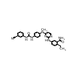 CCc1ccc(Nc2nccc(N(C)c3ccc(NC(=O)Nc4cccc(C#N)c4)cc3)n2)cc1C(N)=O